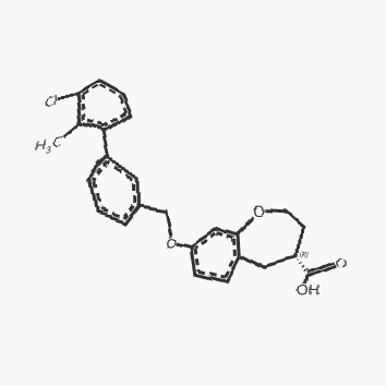 Cc1c(Cl)cccc1-c1cccc(COc2ccc3c(c2)OCC[C@H](C(=O)O)C3)c1